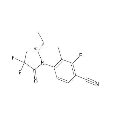 CC[C@H]1CC(F)(F)C(=O)N1c1ccc(C#N)c(F)c1C